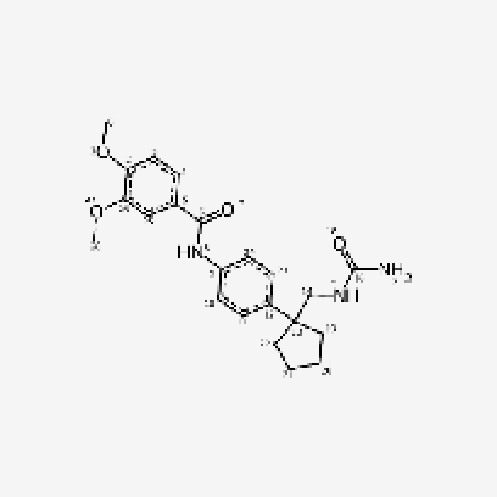 COc1ccc(C(=O)Nc2ccc(C3(CNC(N)=O)CCCC3)cc2)cc1OC